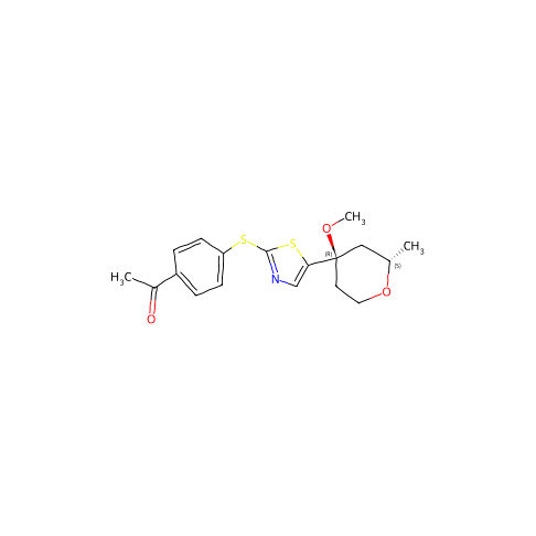 CO[C@]1(c2cnc(Sc3ccc(C(C)=O)cc3)s2)CCO[C@@H](C)C1